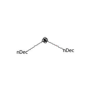 CCCCCCCCCCCCCCCCCCCCCCCCCCCCOS(=O)(=O)OCCCCCCCCCCCCCCCCCCCCCCCCCCCC